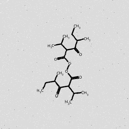 CCC(C)C(=O)C(C(=O)OOC(=O)C(C(=O)C(C)CC)C(C)C)C(C)C